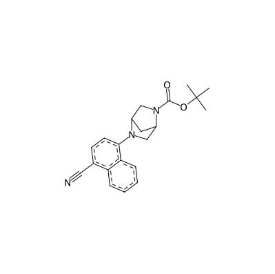 CC(C)(C)OC(=O)N1CC2CC1CN2c1ccc(C#N)c2ccccc12